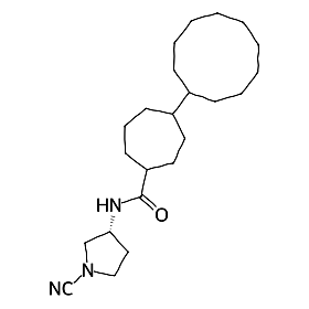 N#CN1CC[C@@H](NC(=O)C2CCCC(C3CCCCCCCCC3)CC2)C1